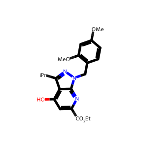 CCOC(=O)c1cc(O)c2c(C(C)C)nn(Cc3ccc(OC)cc3OC)c2n1